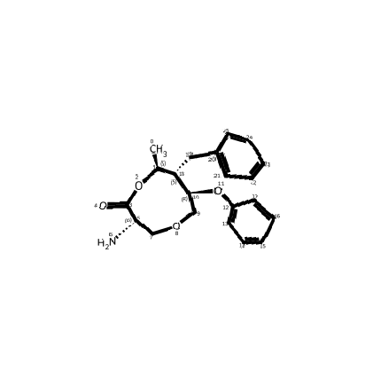 C[C@@H]1OC(=O)[C@@H](N)COC[C@H](Oc2ccccc2)[C@H]1Cc1ccccc1